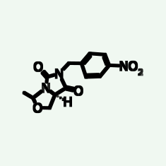 CC1OC[C@@H]2C(=O)N(Cc3ccc([N+](=O)[O-])cc3)C(=O)N12